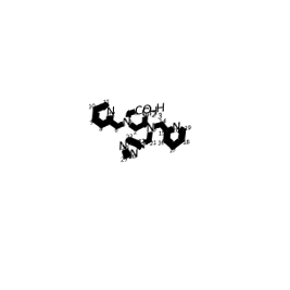 CC(CN(CC(=O)O)Cc1ccccn1)N(Cc1ccccn1)Cn1cncn1